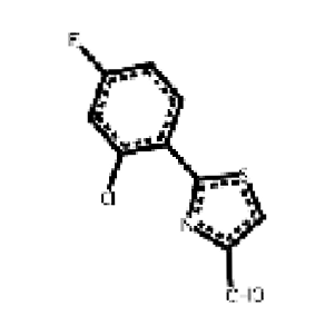 O=Cc1csc(-c2ccc(F)cc2Cl)n1